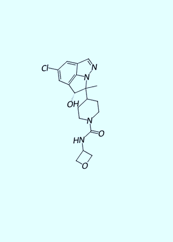 CC1(C2CCN(C(=O)NC3COC3)CC2)[C@H](O)c2cc(Cl)cc3cnn1c23